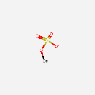 O=S(=O)([O-])[O][Os]